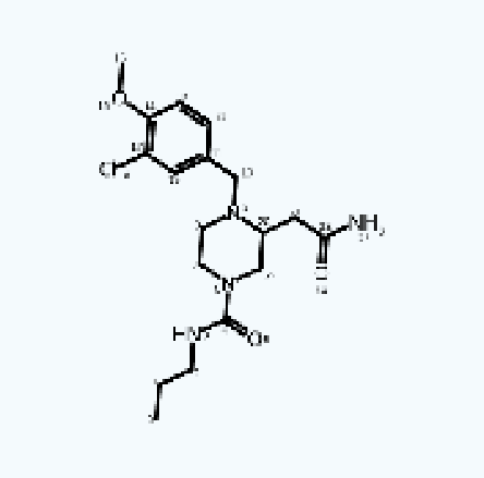 CCCNC(=O)N1CCN(Cc2ccc(OC)c(Cl)c2)C(CC(N)=O)C1